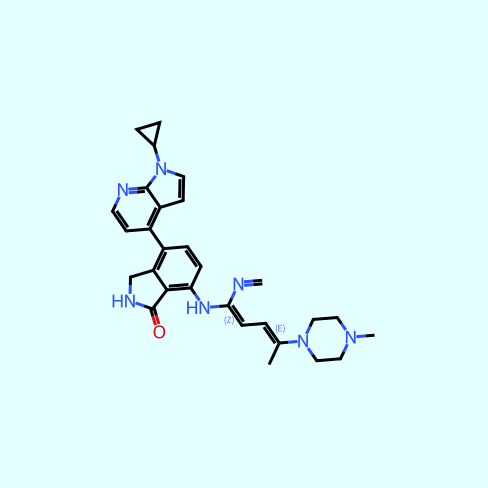 C=N/C(=C\C=C(/C)N1CCN(C)CC1)Nc1ccc(-c2ccnc3c2ccn3C2CC2)c2c1C(=O)NC2